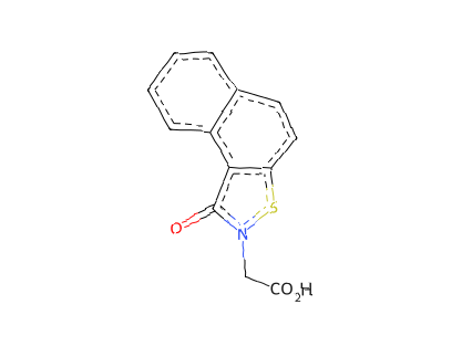 O=C(O)Cn1sc2ccc3ccccc3c2c1=O